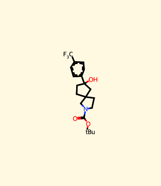 CC(C)(C)OC(=O)N1CCC2(CCC(O)(c3ccc(C(F)(F)F)cc3)C2)C1